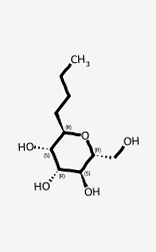 CCCC[C@H]1O[C@H](CO)[C@@H](O)[C@H](O)[C@@H]1O